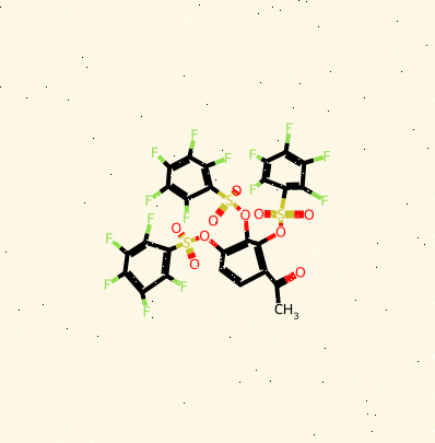 CC(=O)c1ccc(OS(=O)(=O)c2c(F)c(F)c(F)c(F)c2F)c(OS(=O)(=O)c2c(F)c(F)c(F)c(F)c2F)c1OS(=O)(=O)c1c(F)c(F)c(F)c(F)c1F